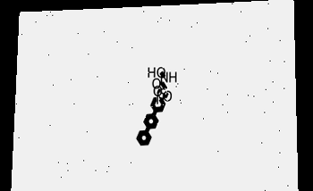 O=C(CS(=O)(=O)N1CC=C(c2ccc(-c3ccccc3)cc2)CC1)NO